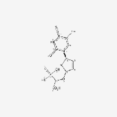 O=C(O)C(OC1C=C[C@H](n2cc(F)c(=O)[nH]c2=O)C1)P(=O)(O)O